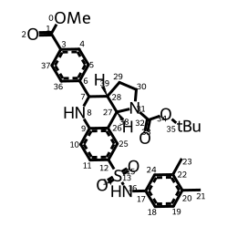 COC(=O)c1ccc(C2Nc3ccc(S(=O)(=O)Nc4ccc(C)c(C)c4)cc3[C@@H]3[C@H]2CCN3C(=O)OC(C)(C)C)cc1